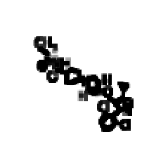 CCC[S+]([O-])NC(=O)c1ccc(N2C[C@@H]3C[C@H]2C[C@H]3OCc2c(-c3c(Cl)cccc3Cl)noc2C2CC2)cc1